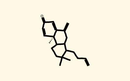 C=CCCC1C2CC(=C)C3=CC(=O)C=C[C@]3(C)C2CCC1(C)C